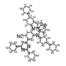 N#Cc1cc(-n2c3ccccc3c3cc(-c4ccccc4)ccc32)c(-n2c3ccccc3c3cc(-c4ccccc4)ccc32)cc1-c1cc(-c2ccccc2)nc(-c2ccccc2)n1